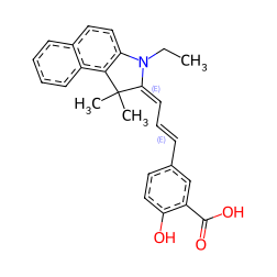 CCN1/C(=C/C=C/c2ccc(O)c(C(=O)O)c2)C(C)(C)c2c1ccc1ccccc21